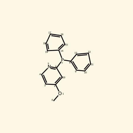 COc1ccnc(P(c2ccccc2)c2ccccc2)c1